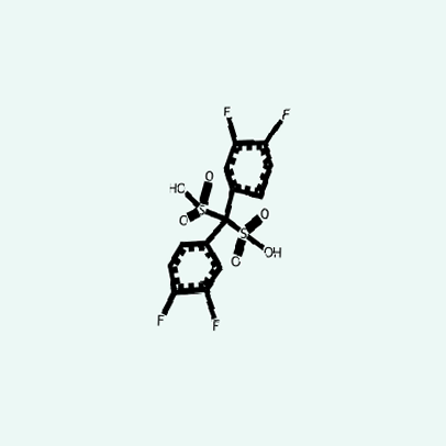 O=S(=O)(O)C(c1ccc(F)c(F)c1)(c1ccc(F)c(F)c1)S(=O)(=O)O